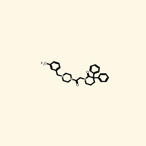 O=C(CN1CCCC(c2ccccc2)(c2ccccc2)C1=O)N1CCN(Cc2cccc(C(F)(F)F)c2)CC1